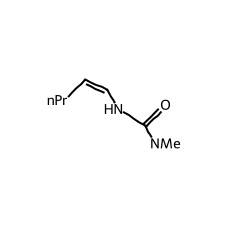 CCC/C=C\NC(=O)NC